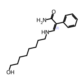 NC(=O)/C(=C\NCCCCCCCCO)c1ccccc1